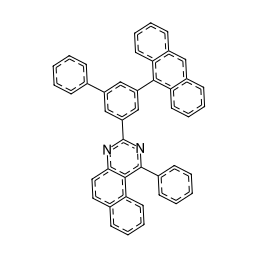 c1ccc(-c2cc(-c3nc(-c4ccccc4)c4c(ccc5ccccc54)n3)cc(-c3c4ccccc4cc4ccccc34)c2)cc1